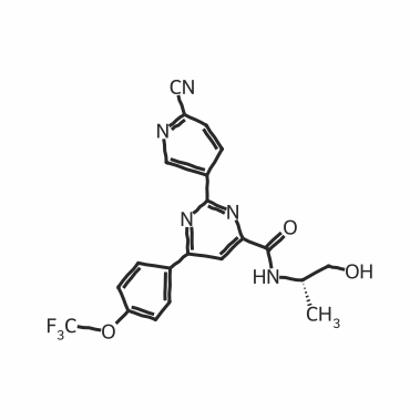 C[C@@H](CO)NC(=O)c1cc(-c2ccc(OC(F)(F)F)cc2)nc(-c2ccc(C#N)nc2)n1